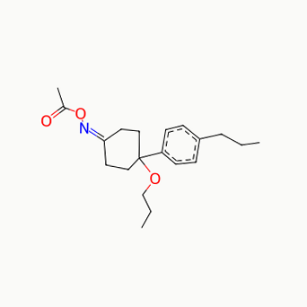 CCCOC1(c2ccc(CCC)cc2)CCC(=NOC(C)=O)CC1